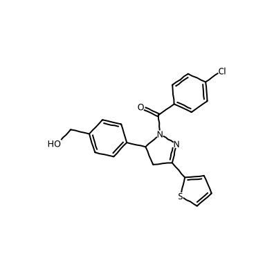 O=C(c1ccc(Cl)cc1)N1N=C(c2cccs2)CC1c1ccc(CO)cc1